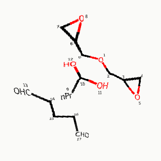 C(OCC1CO1)C1CO1.CCCC(O)O.O=CCCCC=O